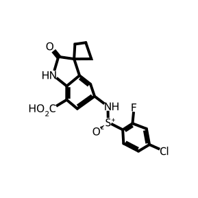 O=C(O)c1cc(N[S@@+]([O-])c2ccc(Cl)cc2F)cc2c1NC(=O)C21CCC1